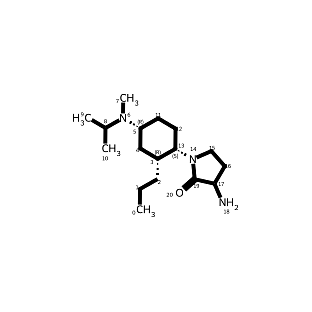 CCC[C@@H]1C[C@H](N(C)C(C)C)CC[C@@H]1N1CCC(N)C1=O